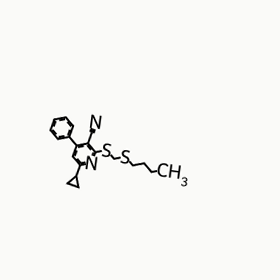 CCCCSCSc1nc(C2CC2)cc(-c2ccccc2)c1C#N